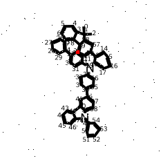 CC1(C)c2ccccc2-c2ccc(-c3ccccc3N(c3ccc(-c4ccccc4)cc3)c3ccc(-c4ccc5c(c4)c4ccccc4n5-c4ccccc4)cc3)cc21